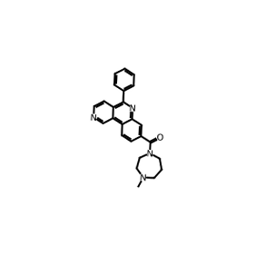 CN1CCCN(C(=O)c2ccc3c(c2)nc(-c2ccccc2)c2ccncc23)CC1